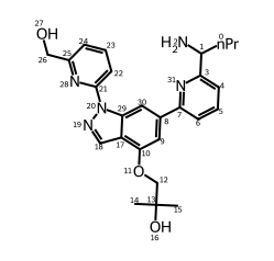 CCCC(N)c1cccc(-c2cc(OCC(C)(C)O)c3cnn(-c4cccc(CO)n4)c3c2)n1